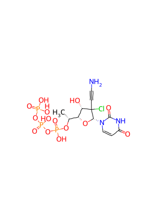 C[C@@H](OP(=O)(O)OP(=O)(O)OP(=O)(O)O)[C@H]1O[C@@H](n2ccc(=O)[nH]c2=O)C(Cl)(C#CN)[C@H]1O